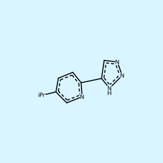 CC(C)c1ccc(-c2cnn[nH]2)nc1